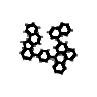 c1ccc(-c2ccccc2N(c2ccc(-c3cccc4oc5c6ccccc6ccc5c34)cc2)c2cccc(-c3cccc4ccccc34)c2)cc1